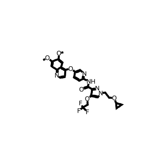 COc1cc2nccc(Oc3ccc(NC(=O)c4nn(CCOC5CC5)cc4OCC(F)(F)F)nc3)c2cc1OC